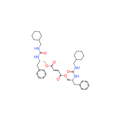 O=C(NCC1CCCCC1)N[C@H](COC(=O)/C=C/C(=O)OC[C@H](Cc1ccccc1)NC(=O)NCC1CCCCC1)Cc1ccccc1